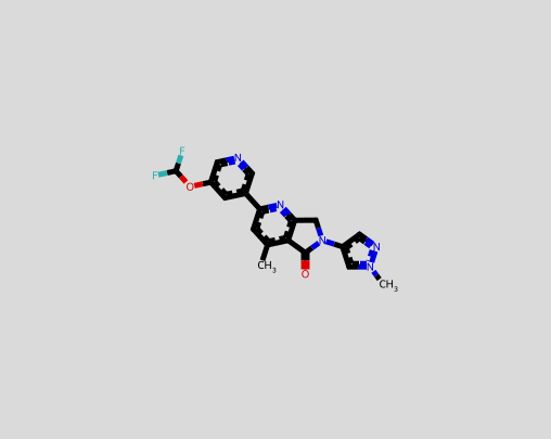 Cc1cc(-c2cncc(OC(F)F)c2)nc2c1C(=O)N(c1cnn(C)c1)C2